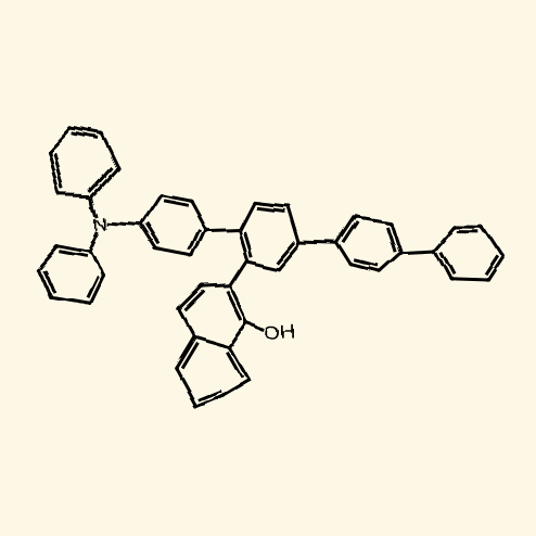 Oc1c(-c2cc(-c3ccc(-c4ccccc4)cc3)ccc2-c2ccc(N(c3ccccc3)c3ccccc3)cc2)ccc2ccccc12